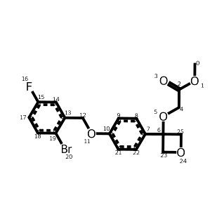 COC(=O)COC1(c2ccc(OCc3cc(F)ccc3Br)cc2)COC1